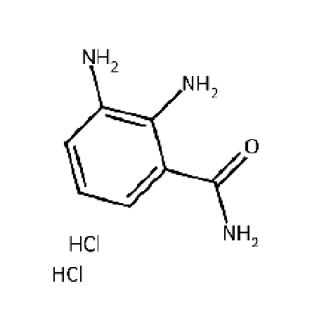 Cl.Cl.NC(=O)c1cccc(N)c1N